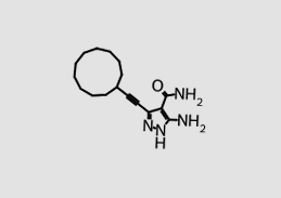 NC(=O)c1c(C#CC2CCCCCCCCCC2)n[nH]c1N